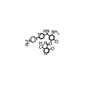 C[S+]([O-])N1CCN(c2ccc(C(=N)c3cc(O[C@H](N)c4c(Cl)cncc4Cl)c(Cl)cc3N)cn2)CC1